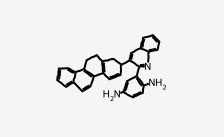 Nc1ccc(N)c(-c2nc3ccccc3cc2C2C=CC3=C(CCc4c3ccc3ccccc43)C2)c1